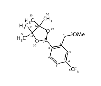 COCc1cc(C(F)(F)F)ccc1B1OC(C)(C)C(C)(C)O1